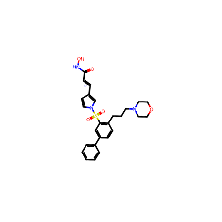 O=C(/C=C/c1ccn(S(=O)(=O)c2cc(-c3ccccc3)ccc2CCCN2CCOCC2)c1)NO